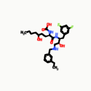 CCCCC(O)CC[C@@H](NC(=O)O)C(=O)N[C@@H](Cc1cc(F)cc(F)c1)[C@H](O)CNCc1cccc(CC)c1